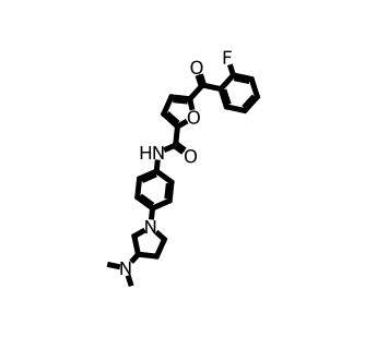 CN(C)C1CCN(c2ccc(NC(=O)c3ccc(C(=O)c4ccccc4F)o3)cc2)C1